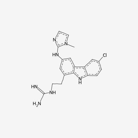 Cn1ccnc1Nc1cc(CCNC(=N)N)c2[nH]c3ccc(Cl)cc3c2c1